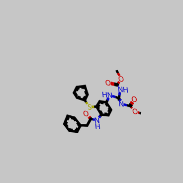 COC(=O)N=C(NC(=O)OC)Nc1ccc(NC(=O)Cc2ccccc2)c(Sc2ccccc2)c1